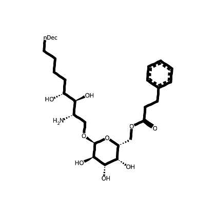 CCCCCCCCCCCCCC[C@@H](O)[C@@H](O)[C@@H](N)CO[C@H]1O[C@H](COC(=O)CCc2ccccc2)[C@H](O)[C@H](O)[C@H]1O